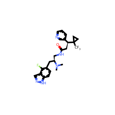 CN(C)[C@H](CNC(=O)C[C@@H](c1cccnc1)C1(C(F)(F)F)CC1)Cc1ccc2[nH]ncc2c1F